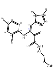 C=C(C(=O)NOCCO)/C(=C\c1nnc(C)n1C)Nc1ccc(I)cc1F